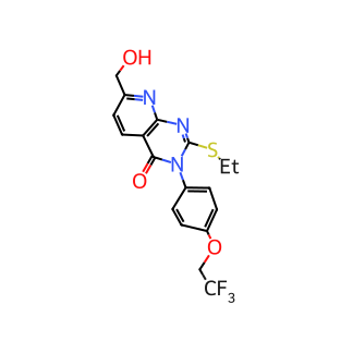 CCSc1nc2nc(CO)ccc2c(=O)n1-c1ccc(OCC(F)(F)F)cc1